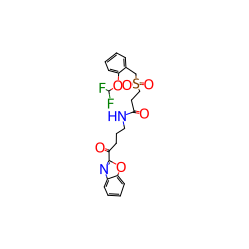 O=C(CCS(=O)(=O)Cc1ccccc1OC(F)F)NCCCC(=O)c1nc2ccccc2o1